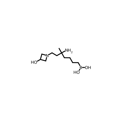 CC(N)(CCCCB(O)O)CCN1CC(O)C1